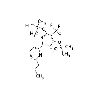 CCCc1cccc(-c2cc(OC(C)(C)C)c(C(F)(F)F)c(OC(C)(C)C)n2)n1